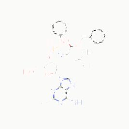 CC(C)C[C@H](NP(=O)(Oc1ccccc1)OC1C[C@H](n2cnc3c(N)nc(Cl)nc32)O[C@@H]1CO)C(=O)OCc1ccccc1